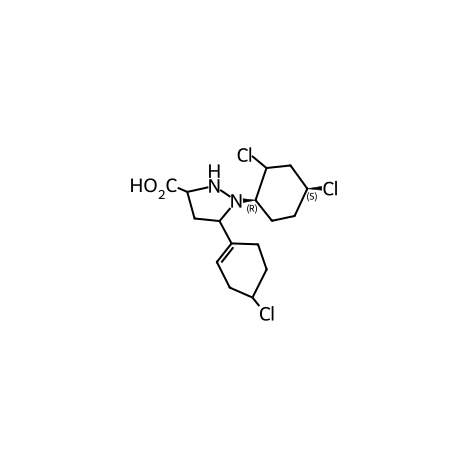 O=C(O)C1CC(C2=CCC(Cl)CC2)N([C@@H]2CC[C@H](Cl)CC2Cl)N1